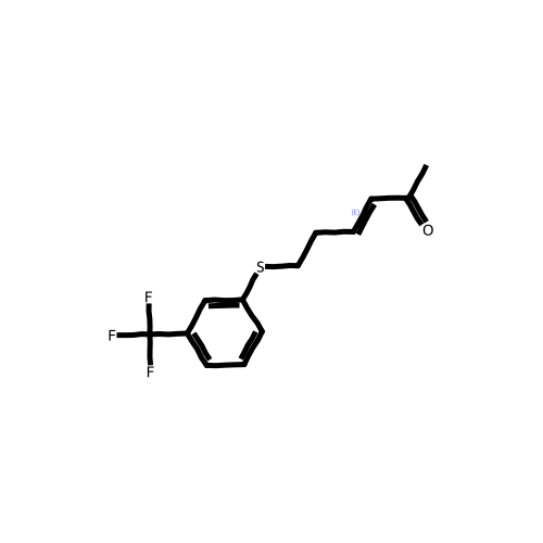 CC(=O)/C=C/CCSc1cccc(C(F)(F)F)c1